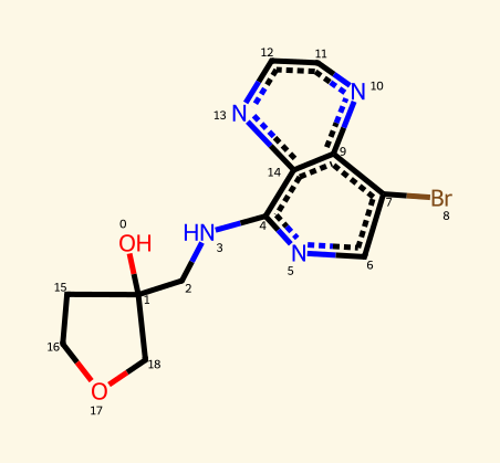 OC1(CNc2ncc(Br)c3nccnc23)CCOC1